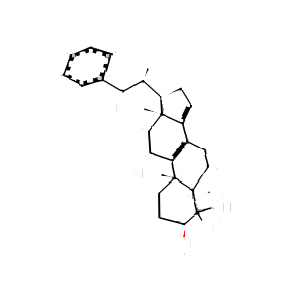 C[C@H](Cc1ccccc1)[C@H]1CC=C2C3=C(CC[C@@]21C)[C@@]1(C)CC[C@H](O)C(C)(C)[C@@H]1CC3.[H+]